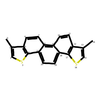 Cc1csc2c1ccc1c3ccc4c(C)csc4c3ccc12